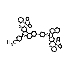 Cc1ccc(-n2c3cc4c(cc3c3c5ccc(-c6ccc(-n7c8cc9c(cc8c8c%10ccccc%10ccc87)C7(c8ccccc8S9)c8ccccc8-c8ccccc87)cc6)cc5ccc32)C2(c3ccccc3S4)c3ccccc3-c3ccccc32)cc1